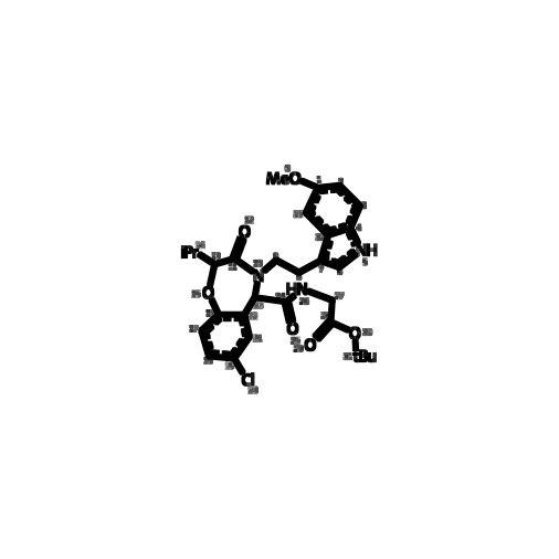 COc1ccc2[nH]cc(CCN3C(=O)C(C(C)C)Oc4ccc(Cl)cc4C3C(=O)NCC(=O)OC(C)(C)C)c2c1